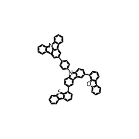 c1ccc2c(c1)oc1c(-c3ccc4c(c3)c3cc(-c5cccc6c5sc5ccccc56)ccc3n4-c3ccc(-c4cc5c6ccccc6n6c7ccccc7c(c4)c56)cc3)cccc12